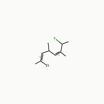 CC/C(C)=C\C(C)/C=C(/C)C(C)F